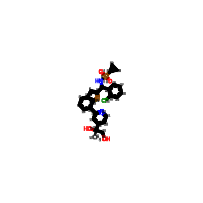 O=S(=O)(NC(c1cc2cccc(-c3cc([C@@](O)(CO)C(F)(F)F)ccn3)c2s1)c1ccccc1Cl)C1CC1